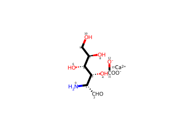 N[C@@H](C=O)[C@@H](O)[C@H](O)[C@H](O)CO.O=C([O-])[O-].[Ca+2]